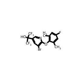 Cc1cc(F)cc(C)c1Oc1ncc(C(O)(C(F)(F)F)C(F)(F)F)cc1Br